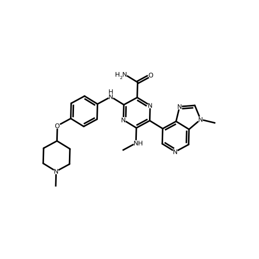 CNc1nc(Nc2ccc(OC3CCN(C)CC3)cc2)c(C(N)=O)nc1-c1cncc2c1ncn2C